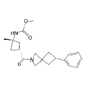 COC(=O)N[C@]1(C)C[C@H](C(=O)N2CC3(CC(c4ccccc4)C3)C2)C1